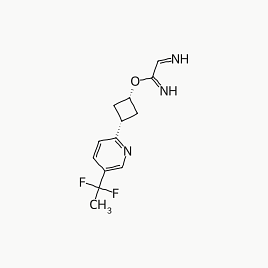 CC(F)(F)c1ccc([C@H]2C[C@@H](OC(=N)C=N)C2)nc1